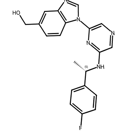 C[C@H](Nc1cncc(-n2cnc3cc(CO)ccc32)n1)c1ccc(F)cc1